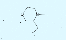 [CH2]CC1COCCN1C